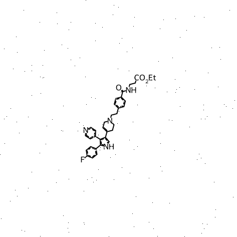 CCOC(=O)CCNC(=O)c1ccc(CCN2CC=C(c3c[nH]c(-c4ccc(F)cc4)c3-c3ccncc3)CC2)cc1